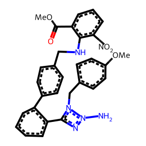 COC(=O)c1cccc([N+](=O)[O-])c1NCc1ccc(-c2ccccc2-c2nn(N)n2Cc2ccc(OC)cc2)cc1